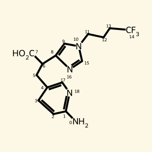 Nc1ccc(CC(C(=O)O)c2cn(CCCC(F)(F)F)cn2)cn1